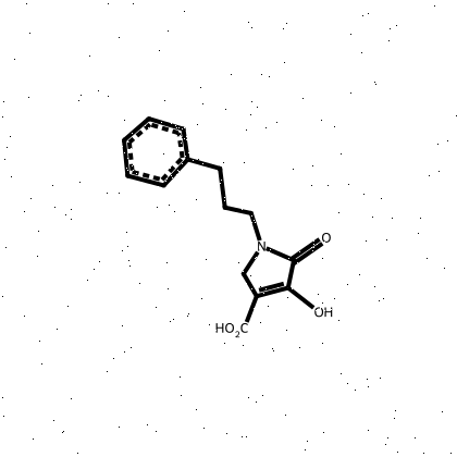 O=C(O)C1=C(O)C(=O)N(CCCc2ccccc2)C1